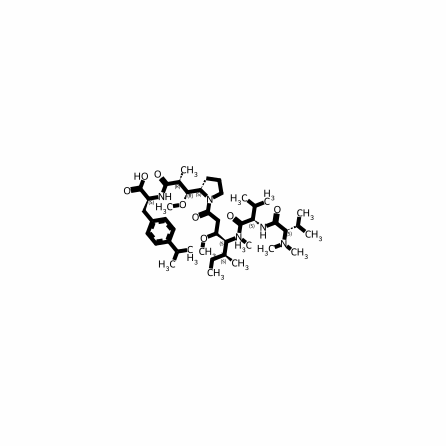 CC[C@H](C)[C@@H](C(CC(=O)N1CCC[C@H]1[C@H](OC)[C@@H](C)C(=O)N[C@@H](Cc1ccc(C(C)C)cc1)C(=O)O)OC)N(C)C(=O)[C@@H](NC(=O)[C@H](C(C)C)N(C)C)C(C)C